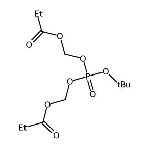 CCC(=O)OCOP(=O)(OCOC(=O)CC)OC(C)(C)C